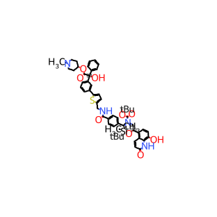 CN1CCC(OC(=O)[C@](O)(c2ccccc2)c2cccc(-c3ccc(CNC(=O)c4ccc(CN(C[C@H](O[Si](C)(C)C(C)(C)C)c5ccc(O)c6[nH]c(=O)ccc56)C(=O)OC(C)(C)C)cc4)s3)c2)CC1